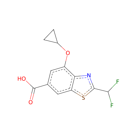 O=C(O)c1cc(OC2CC2)c2nc(C(F)F)sc2c1